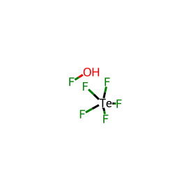 F[Te](F)(F)(F)F.OF